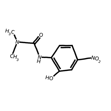 CN(C)C(=O)Nc1ccc([N+](=O)[O-])cc1O